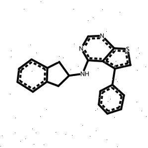 c1ccc(-c2csc3ncnc(NC4Cc5ccccc5C4)c23)cc1